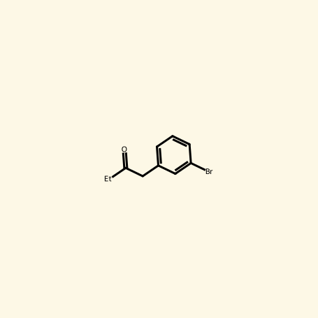 CCC(=O)Cc1cccc(Br)c1